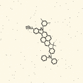 Cc1cc(C)cc(-n2c3cc(C(C)(C)C)ccc3c3c4ccc5cc6c(c7ccc(cc32)c4c57)C(C)(C)c2ccc(N(c3ccccc3)c3ccccc3)cc2-6)c1